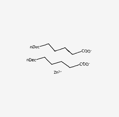 CCCCCCCCCCCCCCC(=O)[O-].CCCCCCCCCCCCCCC(=O)[O-].[Zn+2]